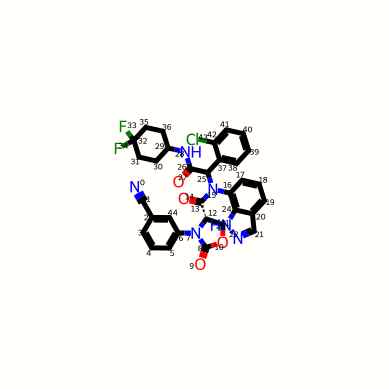 N#Cc1cccc(N2C(=O)OC[C@H]2C(=O)N(c2cccc3cn[nH]c23)C(C(=O)NC2CCC(F)(F)CC2)c2ccccc2Cl)c1